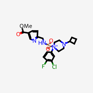 COC(=O)c1ccc(CNS(=O)(=O)[N+]2(c3ccc(F)c(Cl)c3)CCN(C3CCC3)CC2)nc1